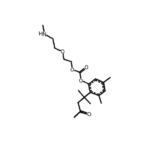 CNCCOCCOC(=O)Oc1cc(C)cc(C)c1C(C)(C)CC(C)=O